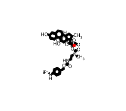 CCC(=O)O[C@]1(C(=O)COC(=O)N(C)CCNC(=O)OCc2ccc(NC(C)C)cc2)[C@@H](C)CC2[C@@H]3CCC4=CC(O)C=C[C@]4(C)[C@@]3(Cl)[C@@H](O)C[C@@]21C